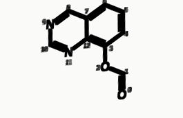 O=COc1cccc2cncnc12